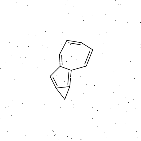 c1ccc2cc3c(c-2cc1)C3